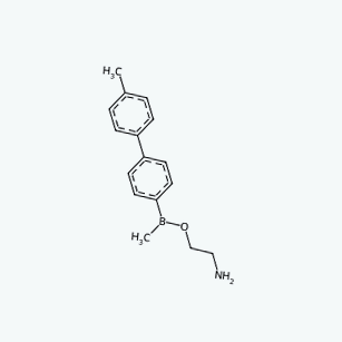 CB(OCCN)c1ccc(-c2ccc(C)cc2)cc1